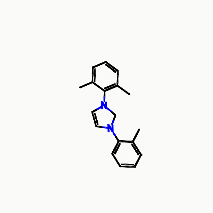 Cc1ccccc1N1C=CN(c2c(C)cccc2C)C1